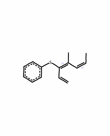 C=C/C(Sc1ccccc1)=C(C)\C=C/C